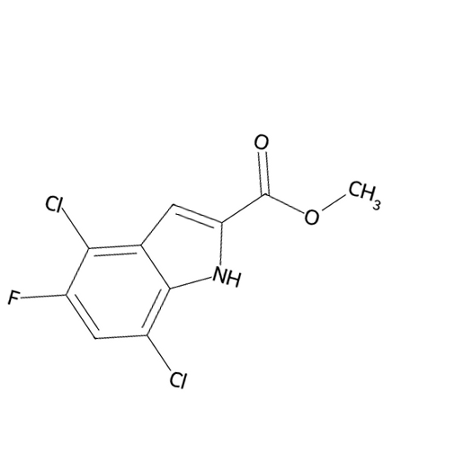 COC(=O)c1cc2c(Cl)c(F)cc(Cl)c2[nH]1